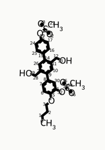 CCCCOc1ccc(-c2cc(CO)c(-c3ccc(OS(C)(=O)=O)cc3)cc2CO)cc1OS(C)(=O)=O